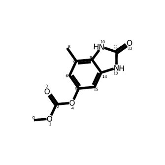 COC(=O)Oc1cc(C)c2[nH]c(=O)[nH]c2c1